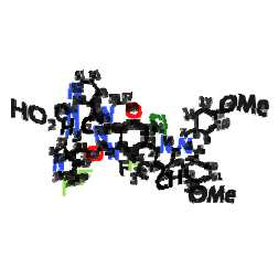 COc1ccc(CN(Cc2ccc(OC)cc2)c2cc(C)c(C(F)(F)F)c(-c3c(Cl)c4c5c(nc(OC[C@]67CCN6CC(F)(F)C7)nc5c3F)N([C@H](C)c3cccnc3NC(=O)O)CCO4)n2)cc1